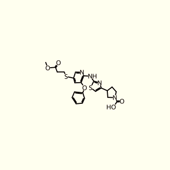 COC(=O)CCSc1cnc(Nc2nc(C3CCN(C(=O)O)C3)cs2)c(Oc2ccccc2)c1